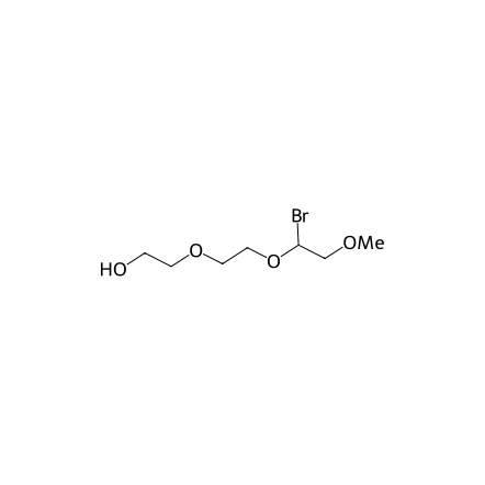 COCC(Br)OCCOCCO